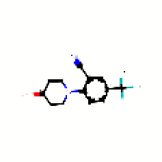 N#Cc1cc(C(F)(F)F)ccc1N1CCC(=O)CC1